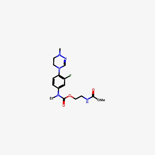 CCN(C(=O)OCCNC(=O)OC)c1ccc(N2C=NN(C)CC2)c(F)c1